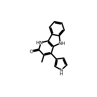 Cc1c(-c2cc[nH]c2)c2[nH]c3ccccc3c2[nH]c1=O